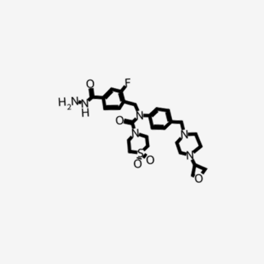 NNC(=O)c1ccc(CN(C(=O)N2CCS(=O)(=O)CC2)c2ccc(CN3CCN(C4COC4)CC3)cc2)c(F)c1